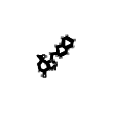 O=C1CCC2(CO2)c2c1nnn2Cc1ccc2ccccc2c1